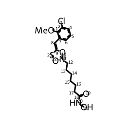 COc1c(Cl)cccc1C=C1ON(CCCCCCC(=O)NO)OS1